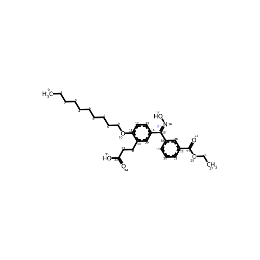 CCCCCCCCCCOc1ccc(/C(=N\O)c2cccc(C(=O)OCC)c2)cc1CCC(=O)O